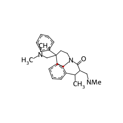 CNCC(C(=O)N1CCC(CN(C)C)(c2ccccc2)CC1)C(C)c1ccccc1